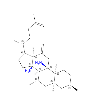 C=C(C)CC[C@@H](C)[C@H]1CC[C@@]2(N)[C@@H]3[C@@H](C)C[C@]4(C)C[C@H](C)CC[C@]4(C)[C@@]3(N)CC(=C)[C@]12C